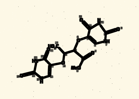 COC(=O)C(Oc1c[nH]c(=O)[nH]c1=O)C(Oc1c[nH]c(=O)[nH]c1=O)C(=O)O